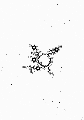 C[C@@H]1NC(=O)[C@H](CCCCN)NC(=O)[C@@H](Cc2ccc(NC(=O)[C@@H](N)CC(=O)O)cc2)NC(=O)[C@H](Cc2ccc(O)cc2)NC(=O)[C@H](NC(=O)[C@@H](N)Cc2ccc(Cl)cc2)CSSC[C@@H](C(=O)N[C@H](Cc2ccc(O)cc2)C(N)=O)NC1=O